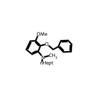 CCCCCCCN(C)c1cccc(OC)c1OCc1ccccc1